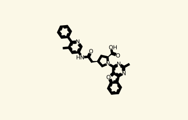 Cc1nc(N2C[C@@H](CC(=O)Nc3cnc(-c4ccccc4)c(C)c3)C[C@H]2C(=O)O)c2oc3ccccc3c2n1